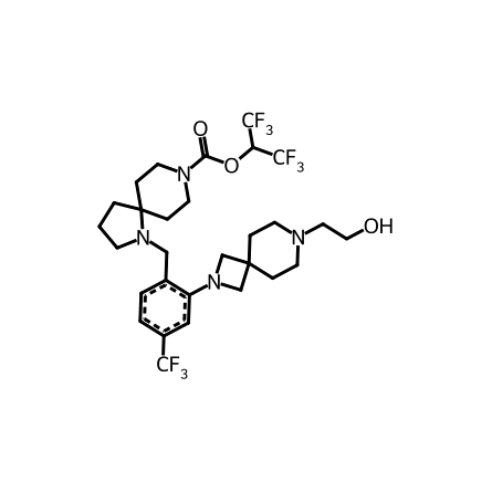 O=C(OC(C(F)(F)F)C(F)(F)F)N1CCC2(CCCN2Cc2ccc(C(F)(F)F)cc2N2CC3(CCN(CCO)CC3)C2)CC1